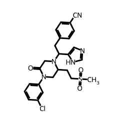 CS(=O)(=O)CCC1CN(c2cccc(Cl)c2)C(=O)CN1C(Cc1ccc(C#N)cc1)c1cnc[nH]1